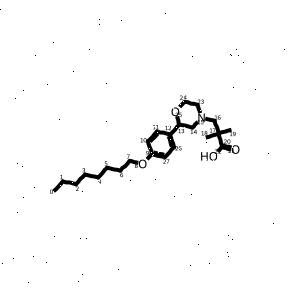 CCCCCCCCOc1ccc(C2CN(CC(C)(C)C(=O)O)CCO2)cc1